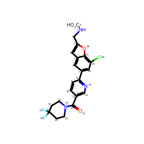 O=C(O)NCc1cc2cc(-c3ccc(C(=O)N4CCC(F)(F)CC4)cn3)cc(Cl)c2o1